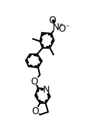 Cc1cc([N+](=O)[O-])cc(C)c1-c1cccc(COc2cc3c(cn2)CCO3)c1